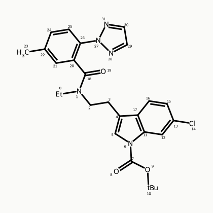 CCN(CCc1cn(C(=O)OC(C)(C)C)c2cc(Cl)ccc12)C(=O)c1cc(C)ccc1-n1nccn1